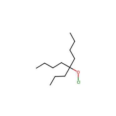 CCCCC(CCC)(CCCC)OCl